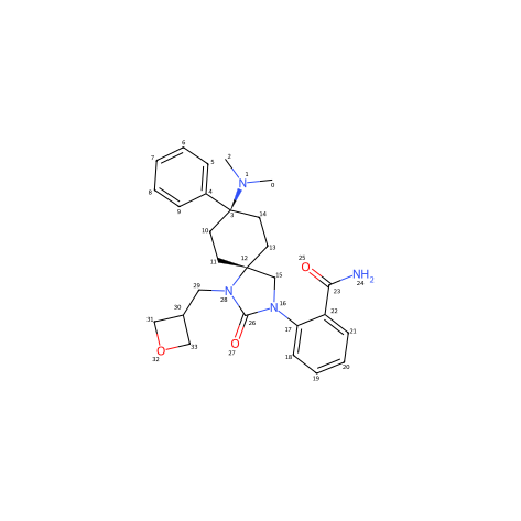 CN(C)[C@]1(c2ccccc2)CC[C@@]2(CC1)CN(c1ccccc1C(N)=O)C(=O)N2CC1COC1